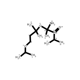 CC(C)OCCC(C)(C)OC(C)(N)[PH](=O)C(C)C